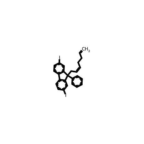 C=CCC/C=C\CC1(c2ccccc2)c2cc(I)ccc2-c2ccc(I)cc21